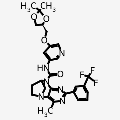 Cc1nc(-c2cccc(C(F)(F)F)c2)nc2c1N1CCC(C1)N2C(=O)Nc1cncc(OC[C@H]2COC(C)(C)O2)c1